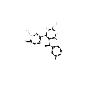 Nc1nc(Cl)c(C(=O)c2cccc(F)c2)c(-c2ccc(=O)n(N)c2)n1